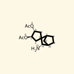 CC(=O)O[C@@H]1CC2(C[C@H]1OC(C)=O)C1CCC(C1)[C@@H]2N